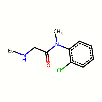 CCNCC(=O)N(C)c1ccccc1Cl